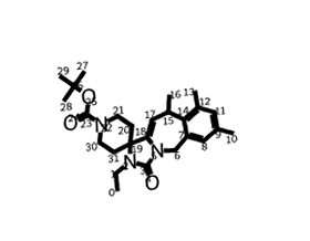 CCN1C(=O)N2Cc3cc(C)cc(C)c3C(C)C=C2C12CCN(C(=O)OC(C)(C)C)CC2